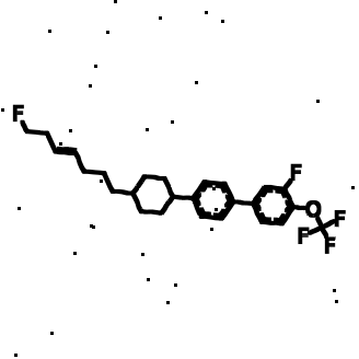 FCC/C=C/CCCC1CCC(c2ccc(-c3ccc(OC(F)(F)F)c(F)c3)cc2)CC1